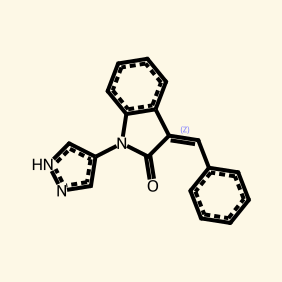 O=C1/C(=C\c2ccccc2)c2ccccc2N1c1cn[nH]c1